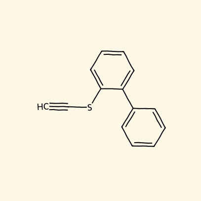 C#CSc1ccccc1-c1ccccc1